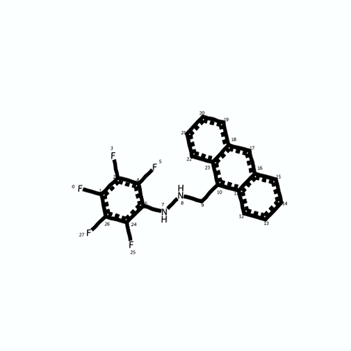 Fc1c(F)c(F)c(NNCc2c3ccccc3cc3ccccc23)c(F)c1F